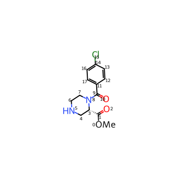 COC(=O)[C@@H]1CNCCN1C(=O)c1ccc(Cl)cc1